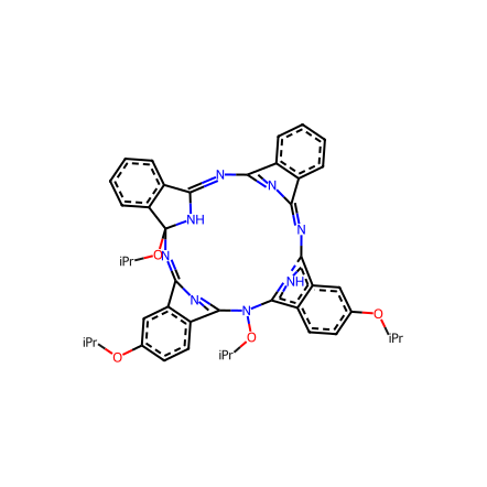 CC(C)Oc1ccc2c(c1)C1=NC3(OC(C)C)NC(=NC4=NC(=Nc5[nH]c(c6ccc(OC(C)C)cc56)N(OC(C)C)C2=N1)c1ccccc14)c1ccccc13